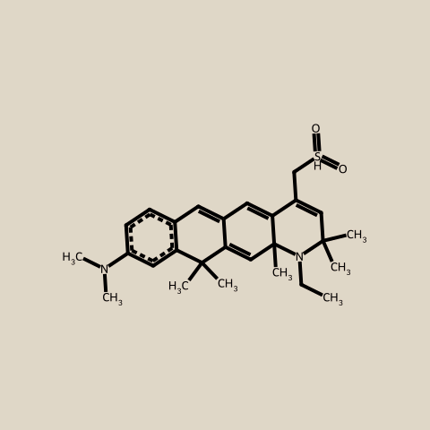 CCN1C(C)(C)C=C(C[SH](=O)=O)C2=CC3=Cc4ccc(N(C)C)cc4C(C)(C)C3=CC21C